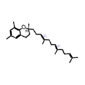 CC(C)=CCC/C(C)=C/CC/C(C)=C/CC[C@]1(C)CCc2cc(C)cc(C)c2O1